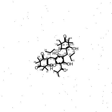 CC(C)C(=O)c1c(O)c([C@H](C2=C(O)C(C)(C)C(=O)C(C)(C)C2=O)C(C)C)c(O)c([C@H](C2=C(O)C(C)(C)C(=O)C(C)(C)C2=O)C(C)C)c1O